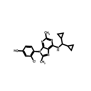 Cc1nc(NC(C2CC2)C2CC2)c2nc(C)n(-c3ccc(O)cc3Cl)c2n1